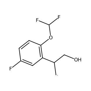 [CH2]C(CO)c1cc(F)ccc1OC(F)F